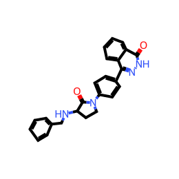 O=C1C(NCc2ccccc2)CCN1c1ccc(-c2n[nH]c(=O)c3ccccc23)cc1